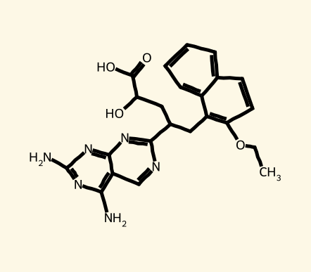 CCOc1ccc2ccccc2c1CC(CC(O)C(=O)O)c1ncc2c(N)nc(N)nc2n1